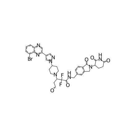 O=CCC(N1CCC(n2cc(-c3cnc4cccc(Br)c4n3)cn2)CC1)C(F)(F)C(=O)NCc1ccc2c(c1)CN(C1CCC(=O)NC1=O)C2=O